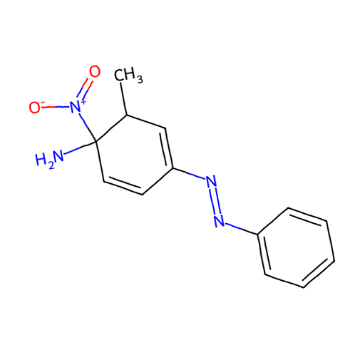 CC1C=C(N=Nc2ccccc2)C=CC1(N)[N+](=O)[O-]